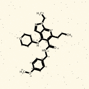 CCCc1nc2c(cnn2CC)c(NC2CCOCC2)c1C(=O)NCc1ccc(OC)cc1